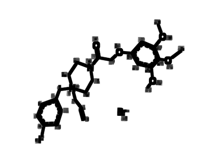 C=CC[N+]1(Cc2ccc(F)cc2)CCN(C(=O)COc2cc(OC)c(OC)c(OC)c2)CC1.[Br-]